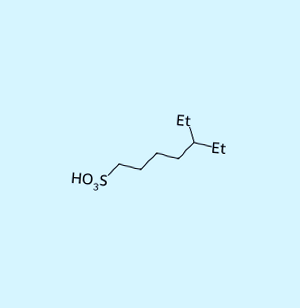 CCC(CC)CCCCS(=O)(=O)O